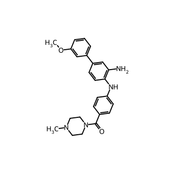 COc1cccc(-c2ccc(Nc3ccc(C(=O)N4CCN(C)CC4)cc3)c(N)c2)c1